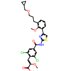 CO/C(=C\c1c(Cl)cc(C(=O)Nc2nc(-c3cccc(CCCOCC4CC4)c3OC)cs2)cc1Cl)C(=O)O